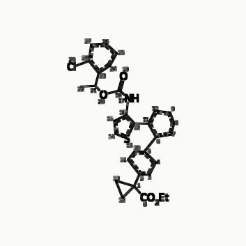 CCOC(=O)C1(c2ccc(-c3ccccc3-c3sccc3NC(=O)OC(C)c3ccccc3Cl)cc2)CC1